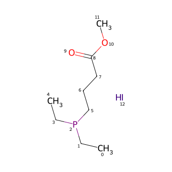 CCP(CC)CCCC(=O)OC.I